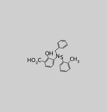 Cc1ccccc1SN(Cc1ccccc1)c1cccc(C(=O)O)c1O